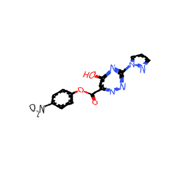 O=C(Oc1ccc([N+](=O)[O-])cc1)c1nnc(-n2cccn2)nc1O